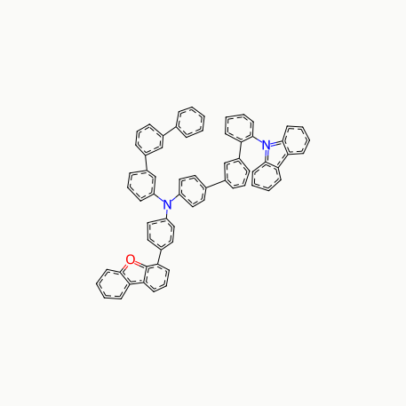 c1ccc(-c2cccc(-c3cccc(N(c4ccc(-c5cccc(-c6ccccc6-n6c7ccccc7c7ccccc76)c5)cc4)c4ccc(-c5cccc6c5oc5ccccc56)cc4)c3)c2)cc1